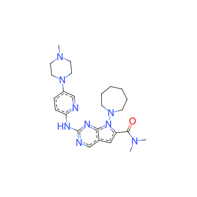 CN1CCN(c2ccc(Nc3ncc4cc(C(=O)N(C)C)n(N5CCCCCC5)c4n3)nc2)CC1